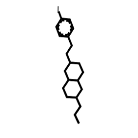 CCCC1CCC2CC(CCc3ccc(I)cc3)CCC2C1